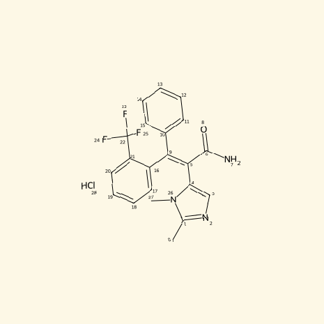 Cc1ncc(C(C(N)=O)=C(c2ccccc2)c2ccccc2C(F)(F)F)n1C.Cl